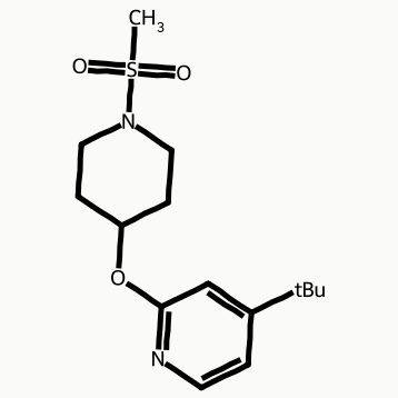 CC(C)(C)c1ccnc(OC2CCN(S(C)(=O)=O)CC2)c1